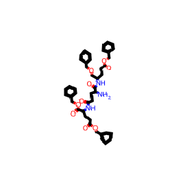 NC(CCC(=O)NC(CCC(=O)OCc1ccccc1)C(=O)OCc1ccccc1)C(=O)NC(CCC(=O)OCc1ccccc1)COCc1ccccc1